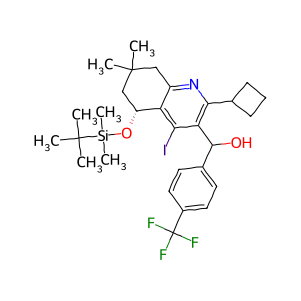 CC1(C)Cc2nc(C3CCC3)c(C(O)c3ccc(C(F)(F)F)cc3)c(I)c2[C@H](O[Si](C)(C)C(C)(C)C)C1